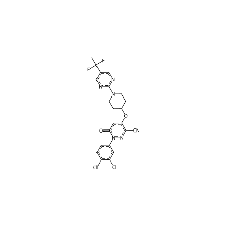 CC(F)(F)c1cnc(N2CCC(Oc3cc(=O)n(-c4ccc(Cl)c(Cl)c4)nc3C#N)CC2)nc1